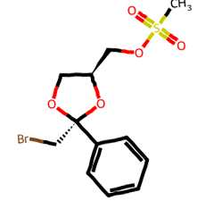 CS(=O)(=O)OC[C@@H]1CO[C@](CBr)(c2ccccc2)O1